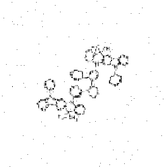 CC1(C)c2ccccc2N(c2ccc3c(c2)-c2ccccc2-c2ccc(N4c5ccccc5C(C)(C)c5cc6c7ccccc7n(-c7ccccc7)c6cc54)cc2-c2ccccc2-3)c2cc3c(cc21)c1ccccc1n3-c1ccccc1